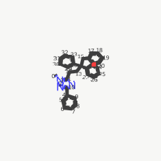 Cn1nc(-c2ccccc2)nc1CCC(Cc1ccccc1)(c1ccccc1)c1ccccc1